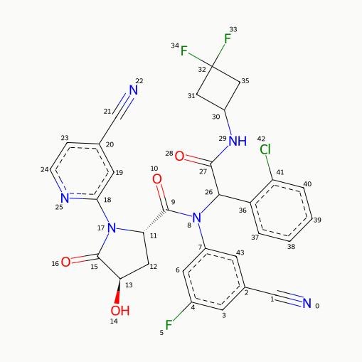 N#Cc1cc(F)cc(N(C(=O)[C@@H]2C[C@@H](O)C(=O)N2c2cc(C#N)ccn2)C(C(=O)NC2CC(F)(F)C2)c2ccccc2Cl)c1